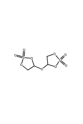 O=S1(=O)OCC(OC2COS(=O)(=O)O2)O1